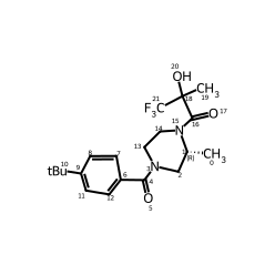 C[C@@H]1CN(C(=O)c2ccc(C(C)(C)C)cc2)CCN1C(=O)C(C)(O)C(F)(F)F